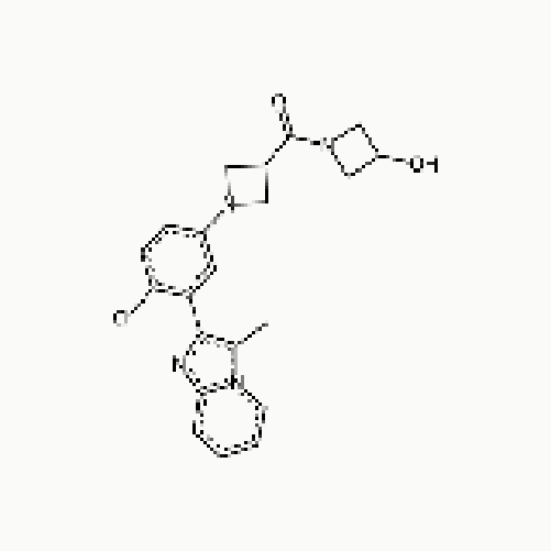 Cc1c(-c2cc(N3CC(C(=O)N4CC(O)C4)C3)ccc2Cl)nc2ccccn12